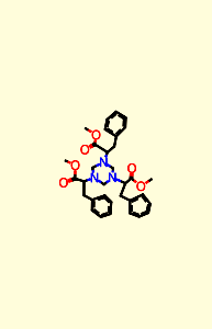 COC(=O)C(Cc1ccccc1)N1CN(C(Cc2ccccc2)C(=O)OC)CN(C(Cc2ccccc2)C(=O)OC)C1